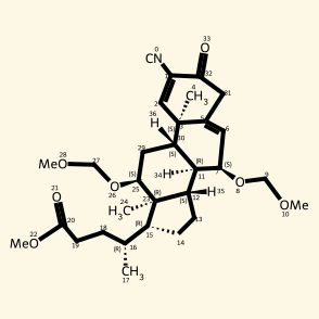 [C-]#[N+]C1=C[C@@]2(C)C(=C[C@@H](OCOC)[C@H]3[C@@H]4CC[C@H]([C@H](C)CCC(=O)OC)[C@@]4(C)[C@@H](OCOC)C[C@@H]32)CC1=O